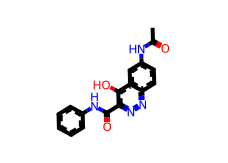 CC(=O)Nc1ccc2nnc(C(=O)Nc3ccccc3)c(O)c2c1